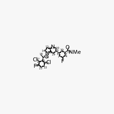 CNC(=O)c1cc(F)cc(-c2cnc3ccn(OC(C)c4c(Cl)ccc(F)c4Cl)c3c2)c1